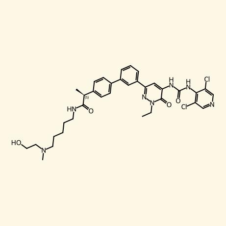 CCn1nc(-c2cccc(-c3ccc([C@H](C)C(=O)NCCCCCN(C)CCO)cc3)c2)cc(NC(=O)Nc2c(Cl)cncc2Cl)c1=O